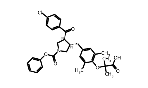 Cc1cc(C[C@@H]2CN(C(=O)Oc3ccccc3)C[C@H]2C(=O)c2ccc(Cl)cc2)cc(C)c1OC(C)(C)C(=O)O